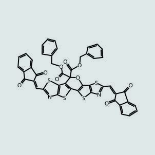 O=C1C(=Cc2nc3sc4c(c3s2)OC(C(=O)OCc2ccccc2)(C(=O)OCc2ccccc2)c2c-4sc3nc(C=C4C(=O)c5ccccc5C4=O)sc23)C(=O)c2ccccc21